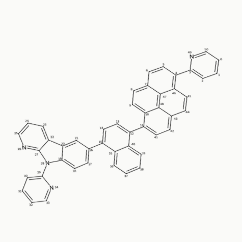 c1ccc(-c2ccc3ccc4c(-c5ccc(-c6ccc7c(c6)c6cccnc6n7-c6ccccn6)c6ccccc56)ccc5ccc2c3c54)nc1